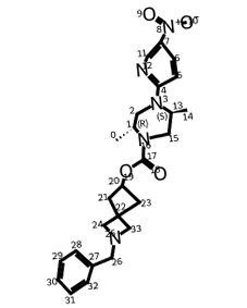 C[C@@H]1CN(c2ccc([N+](=O)[O-])cn2)[C@@H](C)CN1C(=O)OC1CC2(C1)CN(Cc1ccccc1)C2